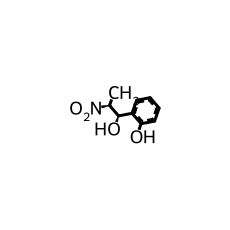 C[C@@H]([C@H](O)c1ccccc1O)[N+](=O)[O-]